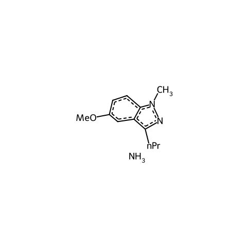 CCCc1nn(C)c2ccc(OC)cc12.N